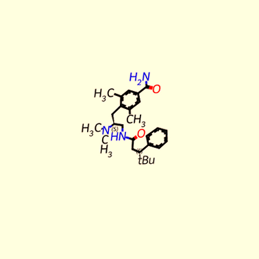 Cc1cc(C(N)=O)cc(C)c1C[C@@H](CNC(=O)C[C@H](c1ccccc1)C(C)(C)C)N(C)C